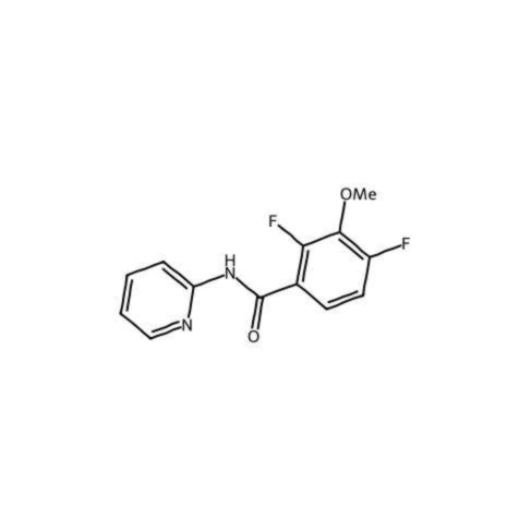 COc1c(F)ccc(C(=O)Nc2ccccn2)c1F